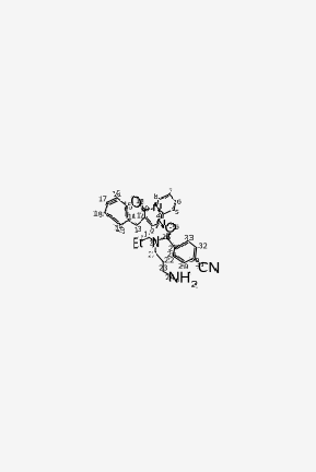 CCC(c1nc2ccccn2c(=O)c1Cc1ccccc1)N(CCCN)C(=O)c1ccc(C#N)cc1